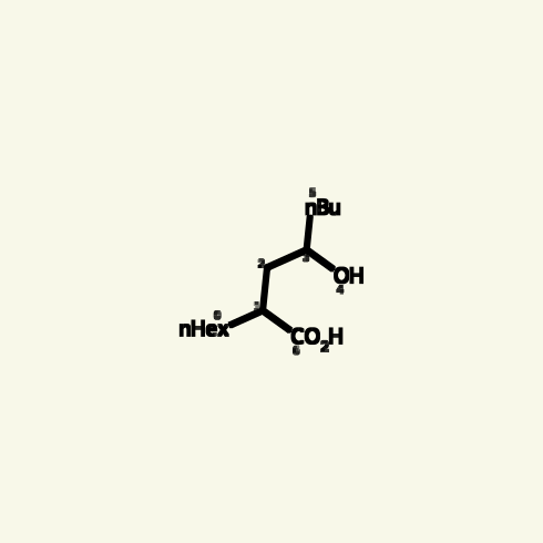 CCCCCCC(CC(O)CCCC)C(=O)O